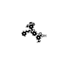 COc1ccc(Oc2ccc(CN(CCCc3ccccc3)C(=O)c3cc(OC)c(OC)c(OC)c3)cc2)c(C(=O)O)c1